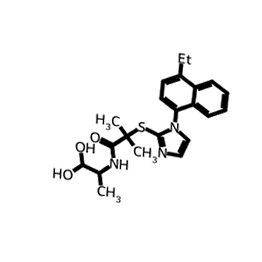 CCc1ccc(-n2ccnc2SC(C)(C)C(=O)NC(C)C(O)O)c2ccccc12